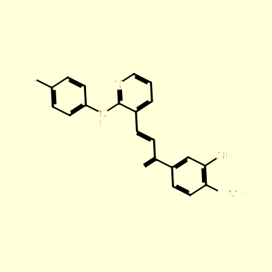 COc1ccc(C(=O)/C=C/c2cccnc2Nc2ccc(Cl)cc2)cc1N